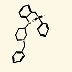 O=S(=O)(Cc1ccccc1NC1CCCN(Cc2ccccc2)C1)c1ccccc1